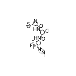 CCN1CCN(Cc2ccc(NC(=O)c3cc(Cl)cc(NC(=O)c4cncc(-c5cccs5)c4)c3)cc2C(F)(F)F)CC1